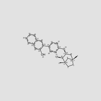 C[C@@]12CC[C@@](C)(C1)[C@@H](F)[C@@H](Oc1ncc(-c3cc4ccncc4cc3O)nn1)C2